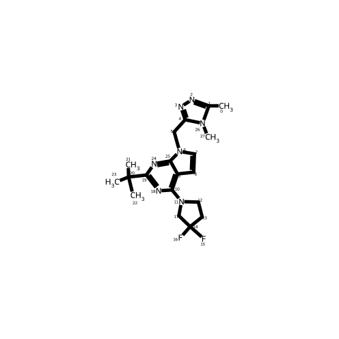 Cc1nnc(Cn2ccc3c(N4CCC(F)(F)C4)nc(C(C)(C)C)nc32)n1C